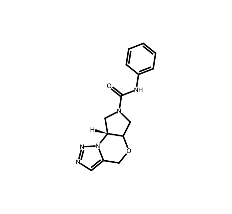 O=C(Nc1ccccc1)N1CC2OCc3cnnn3[C@@H]2C1